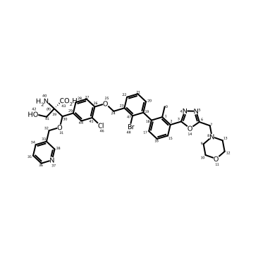 Cc1c(-c2nnc(CN3CCOCC3)o2)cccc1-c1cccc(COc2ccc(C(OCc3cccnc3)[C@](N)(CO)C(=O)O)cc2Cl)c1Br